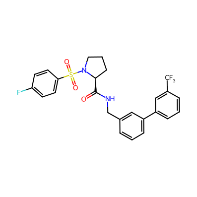 O=C(NCc1cccc(-c2cccc(C(F)(F)F)c2)c1)[C@@H]1CCCN1S(=O)(=O)c1ccc(F)cc1